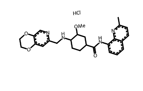 COC1CC(C(=O)Nc2cccc3ccc(C)nc23)CCC1NCc1cc2c(cn1)OCCO2.Cl